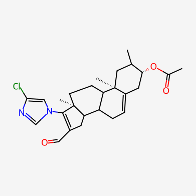 CC(=O)O[C@@H]1CC2=CCC3C(CC[C@]4(C)C(n5cnc(Cl)c5)=C(C=O)CC34)[C@@]2(C)CC1C